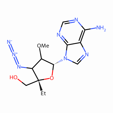 CC[C@]1(CO)O[C@@H](n2cnc3c(N)ncnc32)C(OC)C1N=[N+]=[N-]